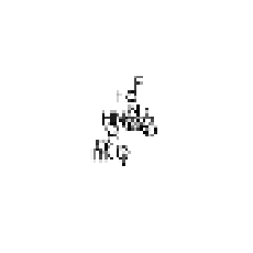 O=C(CN1C(=O)C2(CCOCC2)CC[C@H]1c1cc(F)cc(F)c1)Nc1ccc2c(c1)C[C@@]1(C2)C(=O)Nc2ncccc21